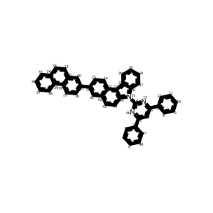 c1ccc(-c2cc(-c3ccccc3)nc(-n3c4ccccc4c4c5ccc(-c6ccc7c(ccc8ccccc87)c6)cc5ccc43)n2)cc1